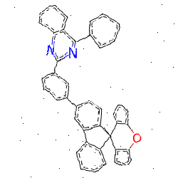 c1ccc(-c2nc(-c3cccc(-c4ccc5c(c4)-c4ccccc4C54c5ccccc5Oc5ccccc54)c3)nc3ccccc23)cc1